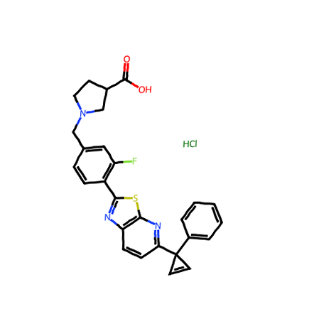 Cl.O=C(O)C1CCN(Cc2ccc(-c3nc4ccc(C5(c6ccccc6)C=C5)nc4s3)c(F)c2)C1